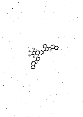 [2H]c1c([2H])c([2H])c(N(c2ccc(-c3cc4sc5c6ccccc6ccc5c4c4ccccc34)cc2)c2ccc3sc4c5ccccc5ccc4c3c2)c([2H])c1[2H]